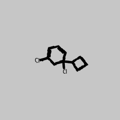 ClC1=CC=CC(Cl)(C2CCC2)[CH]1